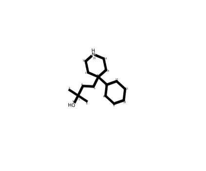 CC(C)(O)CCC1(C2CCCCC2)CCNCC1